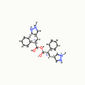 Cn1cc(/C=C(/C(=O)OC(=O)/C(=C/c2cnn(C)c2)c2ccccc2)c2ccccc2)cn1